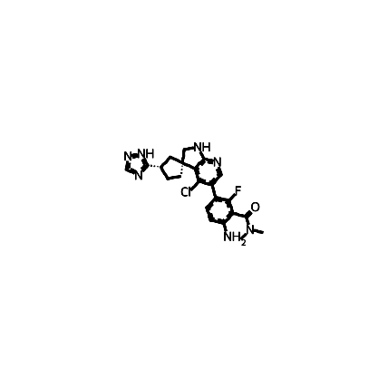 CN(C)C(=O)c1c(N)ccc(-c2cnc3c(c2Cl)[C@]2(CC[C@H](c4ncn[nH]4)C2)CN3)c1F